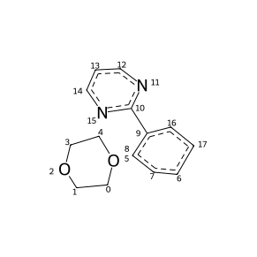 C1COCCO1.c1ccc(-c2ncccn2)cc1